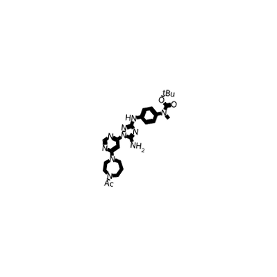 CC(=O)N1CCCN(c2cc(-n3nc(Nc4ccc(N(C)C(=O)OC(C)(C)C)cc4)nc3N)ncn2)CC1